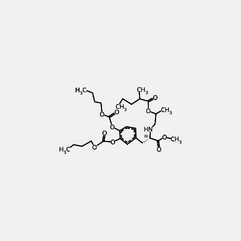 CCCCOC(=O)Oc1ccc(C[C@H](NCC(C)OC(=O)C(C)CCC)C(=O)OC)cc1OC(=O)OCCCC